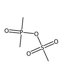 CP(C)(=O)OS(C)(=O)=O